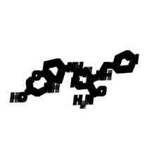 NC(=O)c1cnc(Nc2ccc3c(c2)NCC(O)CO3)nc1NCc1ccncc1